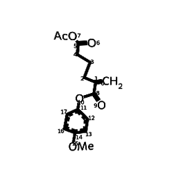 C=C(CCCC(=O)OC(C)=O)C(=O)Oc1ccc(OC)cc1